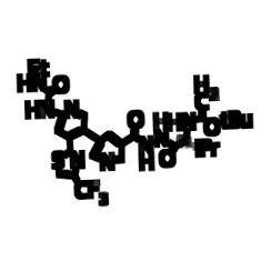 C=C(N[C@@H](C(=O)NNC(=O)c1cncc(-c2cnc(NC(=O)NCC)cc2-c2nc(C(F)(F)F)cs2)c1)C(C)C)OC(C)(C)C